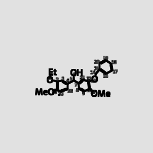 CCOc1cc(C(O)c2ccc(OC)c(OCc3ccccc3)c2)ccc1OC